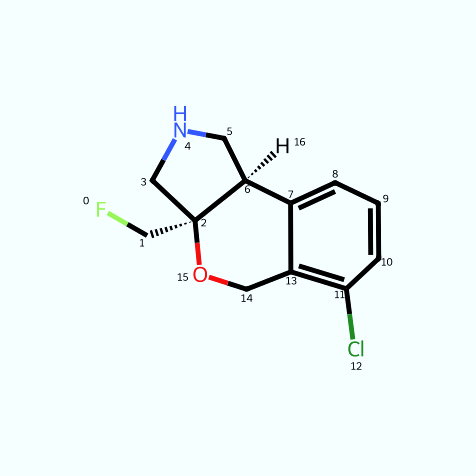 FC[C@]12CNC[C@H]1c1cccc(Cl)c1CO2